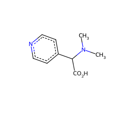 CN(C)C(C(=O)O)c1ccncc1